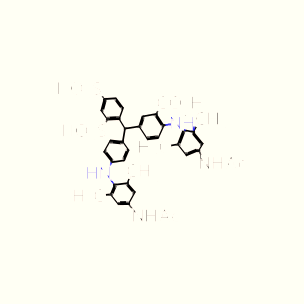 CC(=O)Nc1cc(C)c(Nc2ccc(C(c3ccc(Nc4c(C)cc(NC(C)=O)cc4C)c(C(=O)O)c3)c3ccc(S(=O)(=O)O)cc3S(=O)(=O)O)cc2)c(C)c1